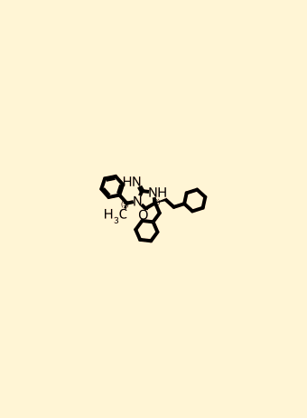 C[C@@H](c1ccccc1)N1C(=N)N[C@](CCC2CCCCC2)(CC2CCCCC2)C1=O